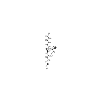 CCCC(O)O.CCCCCCCCOCCCCCCCC